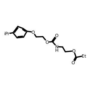 CCC(=O)OCCNC(=O)OCCOc1ccc(C(C)C)cc1